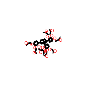 c1cc(C23CC4CC(c5ccc(OCC6CO6)c(OCC6CO6)c5OCC5CO5)(C2)CC(c2ccc(OCC5CO5)c(OCC5CO5)c2OCC2CO2)(C4)C3)c(OCC2CO2)c(OCC2CO2)c1OCC1CO1